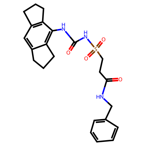 O=C(CCS(=O)(=O)NC(=O)Nc1c2c(cc3c1CCC3)CCC2)NCc1ccccc1